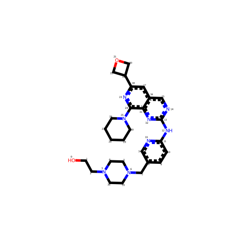 OCCN1CCN(Cc2ccc(Nc3ncc4cc(C5COC5)nc(N5CCCCC5)c4n3)nc2)CC1